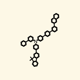 CC1(C)c2ccccc2-c2ccc(-c3ccc(N(c4ccc(-c5ccc(-c6cccc(-c7ccc8ccccc8c7)c6)cc5)cc4)c4cccc(-c5ccccc5)c4)cc3)cc21